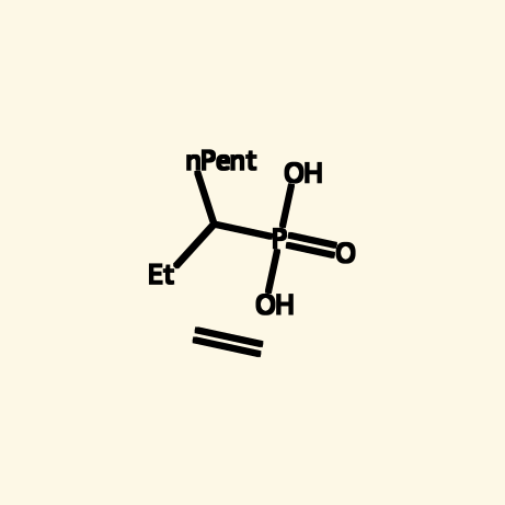 C=C.CCCCCC(CC)P(=O)(O)O